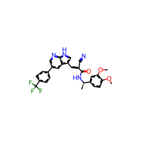 COc1ccc([C@@H](C)NC(=O)/C(C#N)=C/c2c[nH]c3ncc(-c4ccc(C(F)(F)F)cc4)cc23)cc1OC